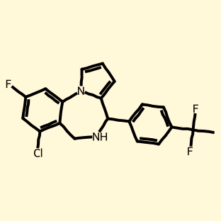 CC(F)(F)c1ccc(C2NCc3c(Cl)cc(F)cc3-n3cccc32)cc1